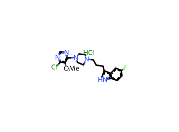 COc1c(Cl)ncnc1N1CCN(CCCc2c[nH]c3ccc(F)cc23)CC1.Cl